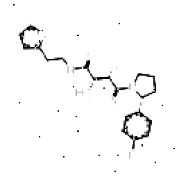 O=C(NCCc1cccs1)[C@H](O)[C@@H](O)C(=O)N1CCC[C@H]1c1ccc(F)cc1